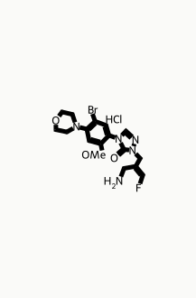 COc1cc(N2CCOCC2)c(Br)cc1-n1cnn(C/C(=C/F)CN)c1=O.Cl